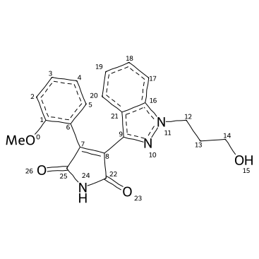 COc1ccccc1C1=C(c2nn(CCCO)c3ccccc23)C(=O)NC1=O